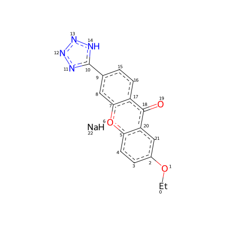 CCOc1ccc2oc3cc(-c4nnn[nH]4)ccc3c(=O)c2c1.[NaH]